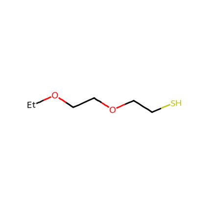 CCOCCOCCS